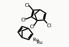 C1=CC2C=CC1C2.ClC1=CC2CC1(Cl)C(Cl)=C2Cl.[Ru].[Ru]